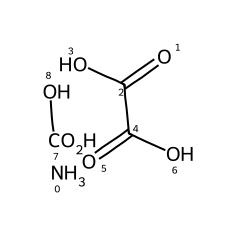 N.O=C(O)C(=O)O.O=C(O)O